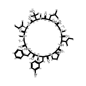 CCC(C)C1NC(=O)[C@@H]2CCCN2C(=O)C(Cc2cccc(Br)c2)N(C)C(=O)C(Cc2ccccc2)NC(=O)[C@H](C)N(C)C(=O)[C@@H](C(C)CC)OC(=O)C(C(C)(C)O)N(C)C(=O)C(CC(C)C)NC(=O)[C@H](C)N(C)C1=O